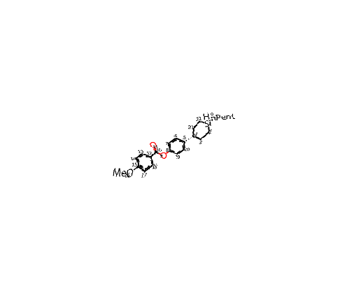 CCCCC[Si@H]1CC[C@H](c2ccc(OC(=O)c3ccc(OC)cc3)cc2)CC1